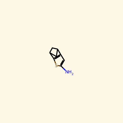 Nc1cc2c(s1)C1CC2C1